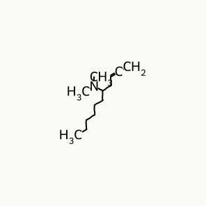 C=C=CCC(CCCCCC)N(C)C